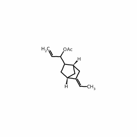 C=CC(OC(C)=O)C1C[C@@H]2C[C@H]1CC2=CC